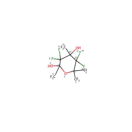 CCC1(C(F)(F)F)OC(O)(C(F)(F)F)C(F)(F)C(O)(C(F)(F)F)C1(F)F